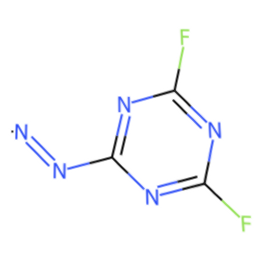 [N]=Nc1nc(F)nc(F)n1